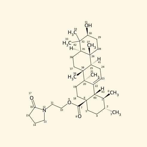 C[C@H]1[C@H](C)CC[C@]2(C(=O)OCCN3CCCC3=O)CC[C@]3(C)C(=CC[C@@H]4[C@@]5(C)CC[C@H](O)C(C)(C)[C@@H]5CC[C@]43C)[C@H]12